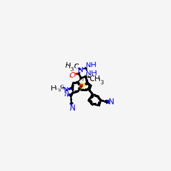 CN1C(=N)N[C@](C)(c2cc(-c3cccc(C#N)c3)cs2)[C@@H](c2ccc3c(C#N)nn(C)c3c2)C1=O